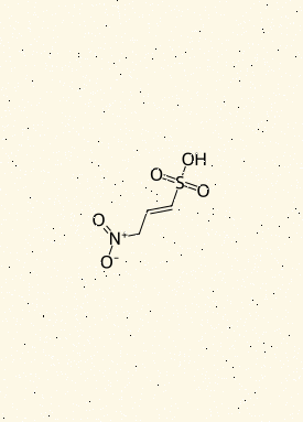 O=[N+]([O-])CC=CS(=O)(=O)O